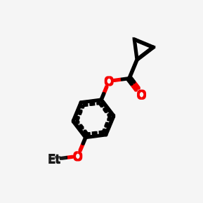 CCOc1ccc(OC(=O)C2CC2)cc1